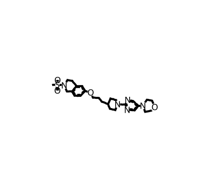 CS(=O)(=O)N1CCc2cc(OCCCC3CCN(c4ncc(N5CCOCC5)cn4)CC3)ccc2C1